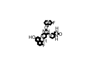 CCc1c(F)ccc2cc(O)cc(N3CCc4c(nc(OC[C@@]56CCCN5C[C@H](F)C6)nc4N4CCCC5(CNC(=O)N5)C4)C3)c12